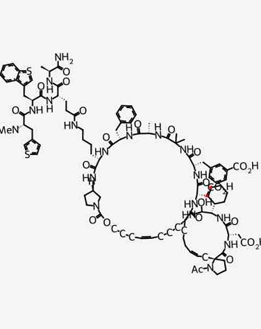 CN[C@@H](Cc1ccsc1)C(=O)N[C@@H](Cc1csc2ccccc12)C(=O)N[C@@H](CCC(=O)NCCCC[C@@H]1NC(=O)[C@H](Cc2ccccc2)NC(=O)[C@H](C)NC(=O)C(C)(C)NC(=O)[C@H](Cc2cccc(C(=O)O)c2)NC(=O)[C@H](CC(=O)O)NC(=O)[C@@]2(CCC/C=C\CCCOC(=O)N3CC[C@@H](C3)NC1=O)CCC/C=C\C[C@]1(CCCN1C(C)=O)C(=O)N[C@@H](CC(=O)O)C(=O)N[C@@H](C1CCCCC1)C(O)N2)C(=O)N[C@@H](C)C(N)=O